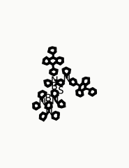 c1ccc(-c2c3ccccc3c(-c3ccc(N(c4ccccc4)c4cc5c6c(c4)N(c4ccc(-c7c8ccccc8c(-c8ccccc8)c8ccccc78)cc4)c4ccccc4B6c4cc6c(cc4S5)N(c4ccccc4)c4cc(N(c5ccccc5)c5ccccc5)cc5c4B6c4ccccc4N5c4ccccc4)cc3)c3ccccc23)cc1